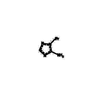 CC(C)n1ncnc1N